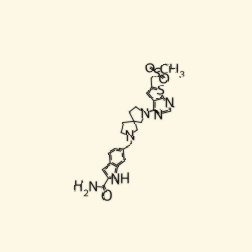 CS(=O)(=O)Cc1cc2c(N3CCC4(CCN(Cc5ccc6cc(C(N)=O)[nH]c6c5)C4)C3)ncnc2s1